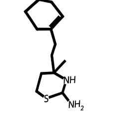 CC1(CCC2=CCCCC2)CCSC(N)N1